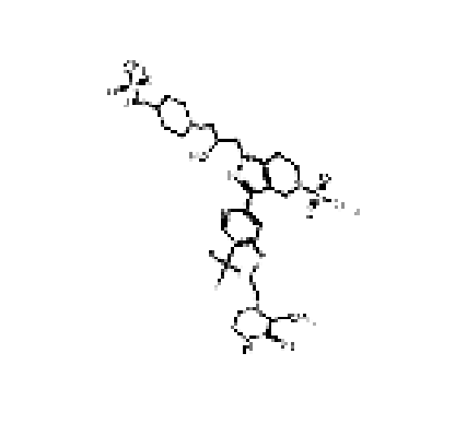 CC1C(=O)NCCN1CCSc1cc(-c2nn(CC(O)CN3CCC(NS(C)(=O)=O)CC3)c3c2CN(S(C)(=O)=O)CC3)ccc1C(F)(F)F